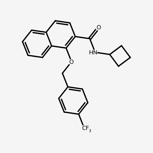 O=C(NC1CCC1)c1ccc2ccccc2c1OCc1ccc(C(F)(F)F)cc1